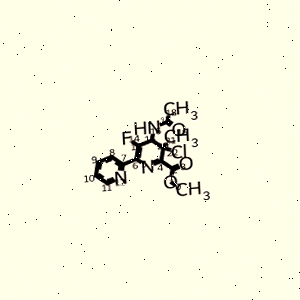 COC(=O)C1=NC(c2ccccn2)=C(F)C(NC(C)=O)C1(C)Cl